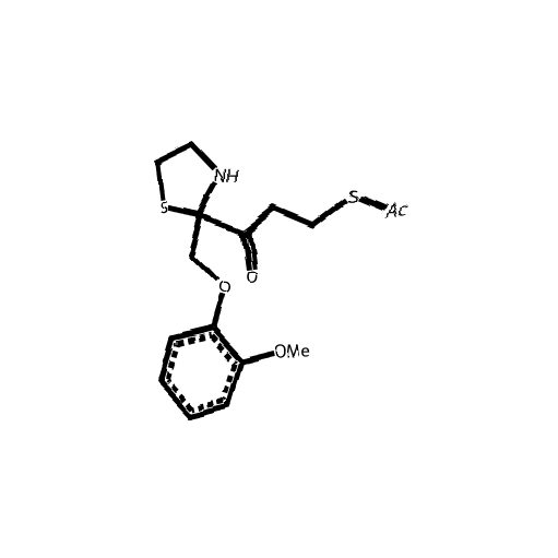 COc1ccccc1OCC1(C(=O)CCSC(C)=O)NCCS1